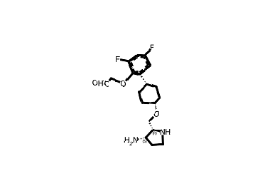 N[C@H]1CCN[C@H]1CO[C@H]1CC[C@@H](c2cc(F)cc(F)c2OCC=O)CC1